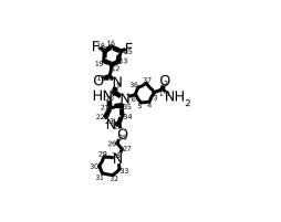 NC(=O)C1CCC(n2/c(=N/C(=O)c3cc(F)cc(F)c3)[nH]c3cnc(OCCN4CCCCC4)cc32)CC1